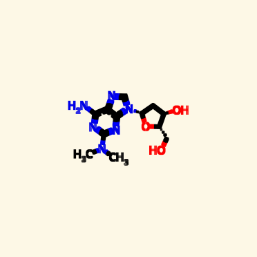 CN(C)c1nc(N)c2ncn([C@@H]3C[C@@H](O)[C@H](CO)O3)c2n1